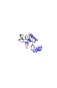 CCCCc1cn(C2CCCC2C(=O)O)c(=O)n1CC1(c2cccc(-c3nnn[nH]3)c2)C=CNC=C1